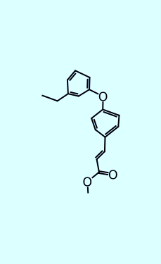 CCc1cccc(Oc2ccc(C=CC(=O)OC)cc2)c1